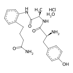 C[C@@H](NC(=O)[C@@H](N)Cc1ccc(O)cc1)C(=O)Nc1ccccc1CCCC(N)=O.Cl.O